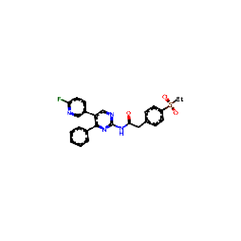 CCS(=O)(=O)c1ccc(CC(=O)Nc2ncc(-c3ccc(F)nc3)c(-c3ccccc3)n2)cc1